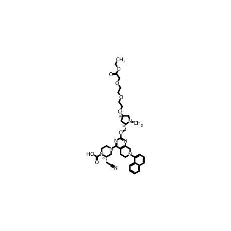 CCOC(=O)COCCOCCO[C@@H]1C[C@@H](COc2nc3c(c(N4CCN(C(=O)O)[C@@H](CC#N)C4)n2)CCN(c2cccc4ccccc24)C3)N(C)C1